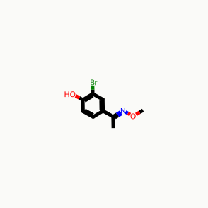 CON=C(C)c1ccc(O)c(Br)c1